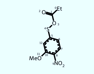 CCC(=O)OSc1ccc([N+](=O)[O-])c(OC)c1